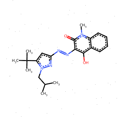 CC(C)Cn1nc(N=Nc2c(O)c3ccccc3n(C)c2=O)cc1C(C)(C)C